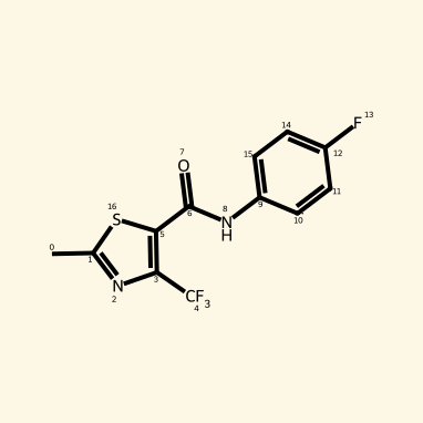 Cc1nc(C(F)(F)F)c(C(=O)Nc2[c]cc(F)cc2)s1